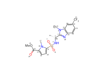 CCn1c([C@@H](C)NS(=O)(=O)c2ccc(C(=O)OC)n2C)nc2ccc(C(F)(F)F)cc21